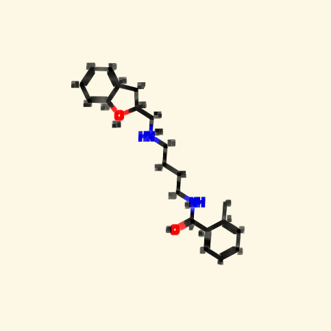 Cc1ccccc1C(=O)NCCCCNCC1Cc2ccccc2O1